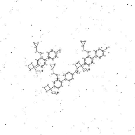 O=C(O)C1(c2ccc(-c3ccc(C(F)(F)F)cc3)c(OCC3CC3)c2)CCC1.O=C(O)C1(c2ccc(-c3ccc(Cl)cc3)c(OCC3CC3)c2)CCC1.O=C(O)C1(c2ccc(-c3ccc(F)cc3)c(OCC3CC3)c2)CCC1